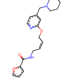 O=C(NC/C=C\COc1cc(CN2CCCCC2)ccn1)c1ccco1